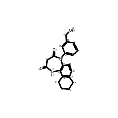 O=C1CC(=O)N(c2cccc(CO)c2)c2ccc3c(c2N1)CCCC3